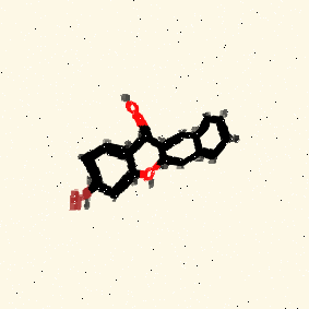 O=c1c2ccc(Br)cc2oc2cc3ccccc3cc12